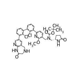 COc1nc(-c2cccc(-c3cccc(-c4cnc5c(c4)CNCC(=O)N5)c3Cl)c2Cl)ccc1CN(C[C@@H]1CCC(=O)N1)C(=O)OC(C)(C)C